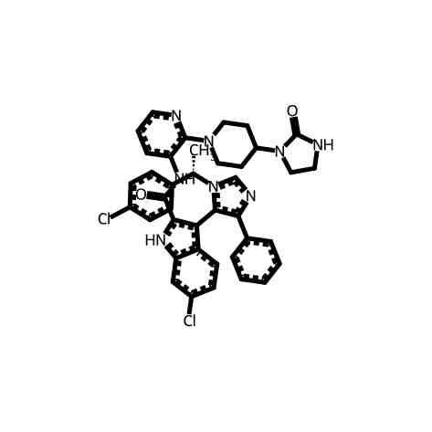 C[C@@H](c1ccc(Cl)cc1)n1cnc(-c2ccccc2)c1-c1c(C(=O)Nc2cccnc2N2CCC(N3CCNC3=O)CC2)[nH]c2cc(Cl)ccc12